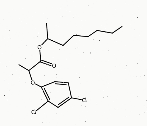 CCCCCCC(C)OC(=O)C(C)Oc1ccc(Cl)cc1Cl